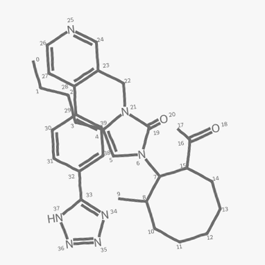 CCCCc1cn(C2C(C)CCCCCC2C(C)=O)c(=O)n1Cc1cnccc1-c1ccc(-c2nnn[nH]2)cc1